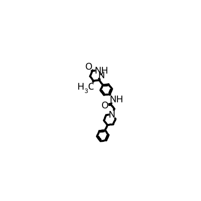 CC1CC(=O)NN=C1c1ccc(NC(=O)CN2CCC(c3ccccc3)CC2)cc1